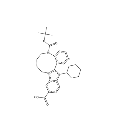 CC(C)(C)OC(=O)N1CCCCn2c(c(C3CCCCC3)c3ccc(C(=O)O)cc32)-c2cnccc21